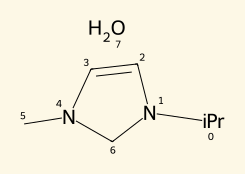 CC(C)N1C=CN(C)C1.O